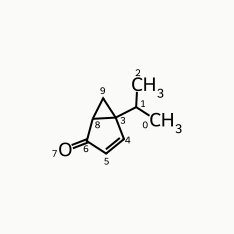 CC(C)C12C=CC(=O)C1C2